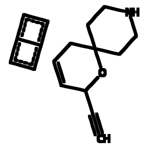 C#CC1C=CCC2(CCNCC2)O1.c1cc2ccc1-2